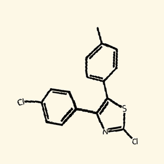 Cc1ccc(-c2sc(Cl)nc2-c2ccc(Cl)cc2)cc1